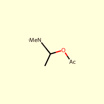 C[N]C(C)OC(C)=O